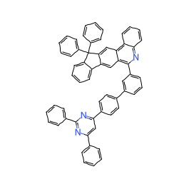 c1ccc(-c2cc(-c3ccc(-c4cccc(-c5nc6ccccc6c6cc7c(cc56)-c5ccccc5C7(c5ccccc5)c5ccccc5)c4)cc3)nc(-c3ccccc3)n2)cc1